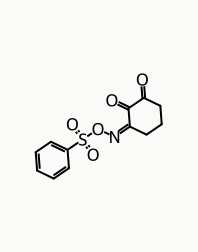 O=C1CCC/C(=N/OS(=O)(=O)c2ccccc2)C1=O